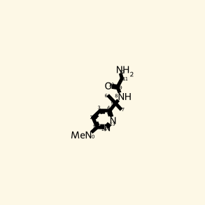 CNc1ccc(C(C)(C)NC(=O)CN)nn1